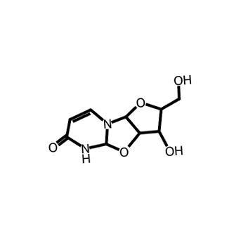 O=C1C=CN2C(N1)OC1C(O)C(CO)OC12